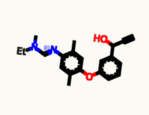 C#CC(O)c1cccc(Oc2cc(C)c(/N=C/N(C)CC)cc2C)c1